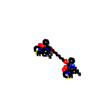 CC1(C)C[C@@H]2SCCCC(=O)N2[C@@H]1C(=O)N[C@H](COCCCCCCCCOC[C@@H](NC(=O)[C@H]1N2C(=O)CCCS[C@H]2CC1(C)C)c1ccccc1)c1ccccc1